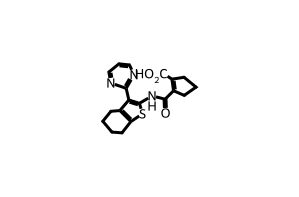 O=C(O)C1=C(C(=O)Nc2sc3c(c2-c2ncccn2)CCCC3)CCC1